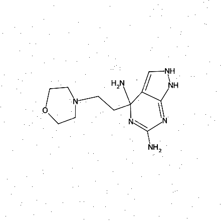 NC1=NC(N)(CCN2CCOCC2)C2=CNNC2=N1